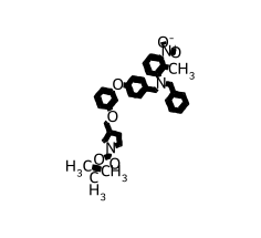 Cc1c(N(Cc2ccccc2)Cc2ccc(Oc3cccc(OCC4CCN(C(=O)OC(C)(C)C)C4)c3)cc2)cccc1[N+](=O)[O-]